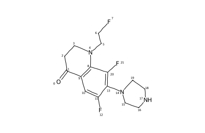 O=C1CCN(CCF)c2c1cc(F)c(N1CCNCC1)c2F